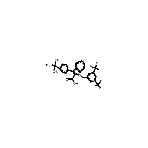 CC(C)(C)c1ccc(-c2c(C(=O)O)n(Cc3cc(C(F)(F)F)cc(C(F)(F)F)c3)c3ccccc23)cc1